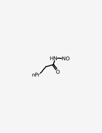 CCCCC(=O)NN=O